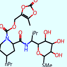 CCCC1CCN(C(=O)OCc2oc(=O)oc2C)C(C(=O)NC(C(C)C)C2OC(SC)C(O)C(O)C2O)C1